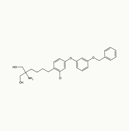 NC(CO)(CO)CCCCc1ccc(Oc2cccc(OCc3ccccc3)c2)cc1Cl